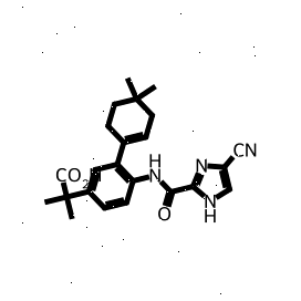 CC1(C)CC=C(c2cc(C(C)(C)C(=O)O)ccc2NC(=O)c2nc(C#N)c[nH]2)CC1